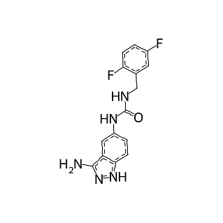 Nc1n[nH]c2ccc(NC(=O)NCc3cc(F)ccc3F)cc12